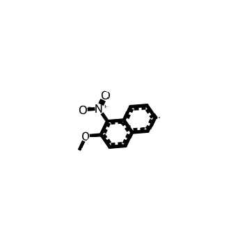 COc1ccc2c[c]ccc2c1[N+](=O)[O-]